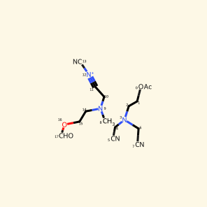 CC(=O)OCCN(CC#N)CC#N.CN(CC#[N+]C#N)CCOC=O